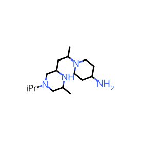 CC1CN(C(C)C)CC(CC(C)N2CCC(N)CC2)N1